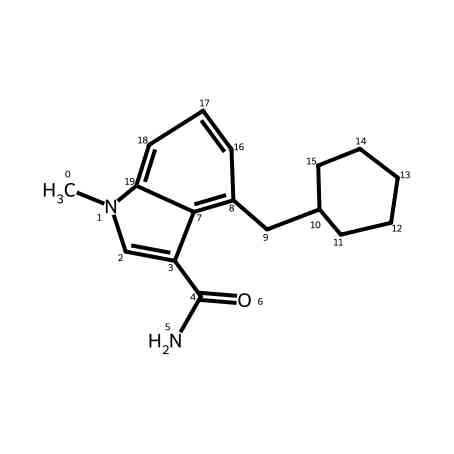 Cn1cc(C(N)=O)c2c(CC3CCCCC3)cccc21